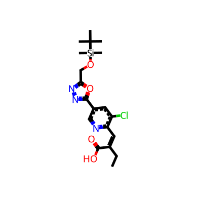 CCC(=Cc1ncc(-c2nnc(CO[Si](C)(C)C(C)(C)C)o2)cc1Cl)C(=O)O